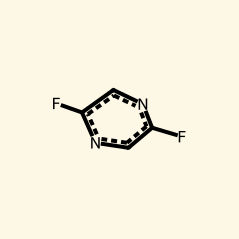 Fc1cnc(F)cn1